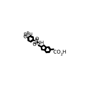 CCCCOc1ccc(S(=O)(=O)NCC2Cc3ccc(CC(=O)O)cc3C2)cc1